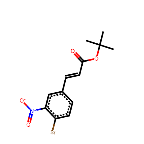 CC(C)(C)OC(=O)C=Cc1ccc(Br)c([N+](=O)[O-])c1